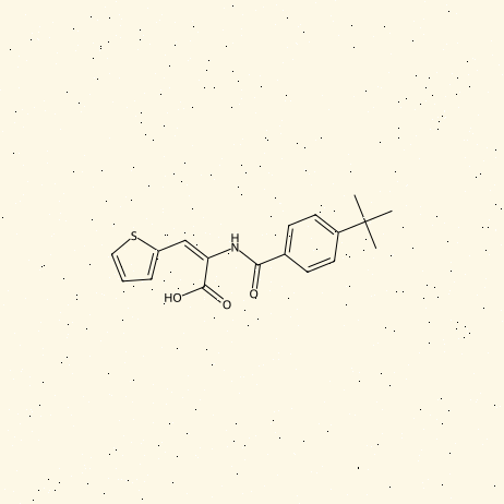 CC(C)(C)c1ccc(C(=O)N/C(=C/c2cccs2)C(=O)O)cc1